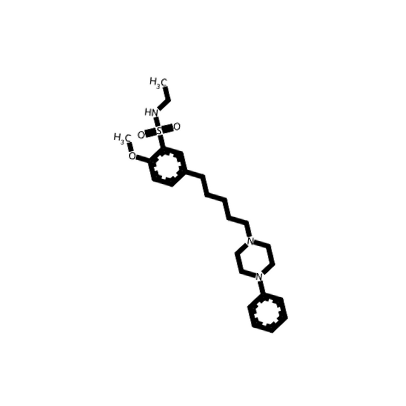 CCNS(=O)(=O)c1cc(CCCCCN2CCN(c3ccccc3)CC2)ccc1OC